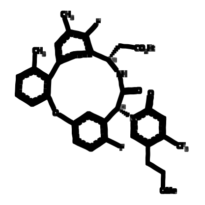 CCOC(=O)C[C@@H]1NC(=O)[C@H](n2cc(CCOC)c(C(F)(F)F)cc2=O)c2cc(ccc2F)Oc2cccc(C)c2-c2cc(C)c(F)c1c2